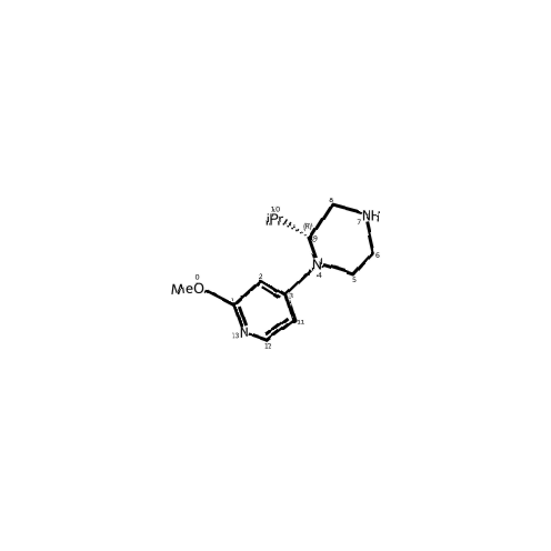 COc1cc(N2CCNC[C@H]2C(C)C)ccn1